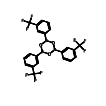 FC(F)(F)c1cccc(B2OB(c3cccc(C(F)(F)F)c3)OB(c3cccc(C(F)(F)F)c3)O2)c1